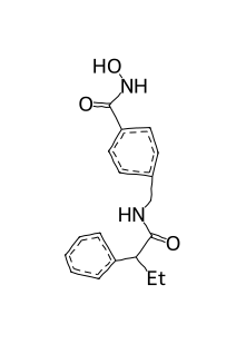 CCC(C(=O)NCc1ccc(C(=O)NO)cc1)c1ccccc1